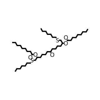 CCCCCCCCC(=O)OC(CCCCC(=O)CCCCC(CSCCCCCCC)OC(=O)CCCCCCCC)CSCCCCCCC